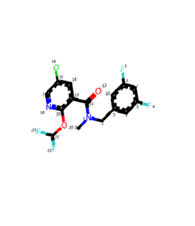 CN(Cc1cc(F)cc(F)c1)C(=O)c1cc(Cl)cnc1OC(F)F